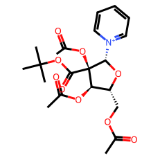 CC(=O)OC[C@H]1O[C@@H]([n+]2ccccc2)[C@@](OC(C)=O)(C(=O)OC(C)(C)C)[C@@H]1OC(C)=O